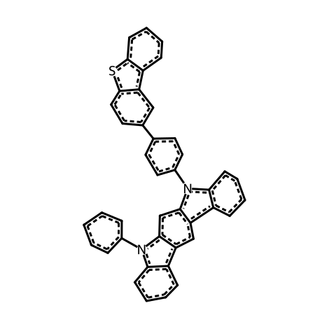 c1ccc(-n2c3ccccc3c3cc4c5ccccc5n(-c5ccc(-c6ccc7sc8ccccc8c7c6)cc5)c4cc32)cc1